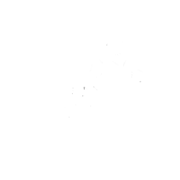 CC[C@H](Oc1ccc(C(=O)NC[C@H](C(=O)O)C(C)(C)C)cc1)c1ccc(-c2ccccc2)cc1